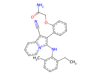 CCc1cccc(C)c1Nc1c(-c2ccccc2OCC(N)=O)c(C#N)c2ccccn12